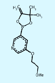 C=C1OB(c2cncc(OCCOC)c2)OC1(C)C